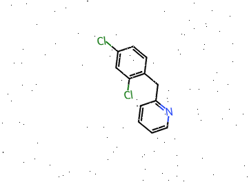 Clc1ccc(Cc2[c]cccn2)c(Cl)c1